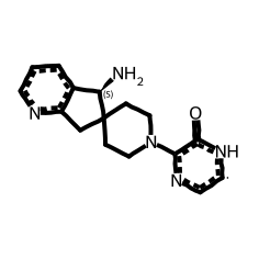 N[C@@H]1c2cccnc2CC12CCN(c1nc[c][nH]c1=O)CC2